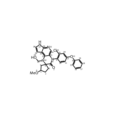 COC1CCC2(C1)C(=O)N(c1ccc(Oc3ccccc3)cc1Cl)c1cnc3[nH]ccc3c1N2CO